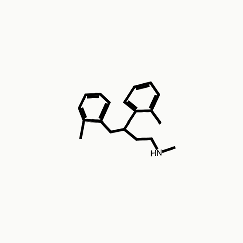 CNCCC(Cc1ccccc1C)c1ccccc1C